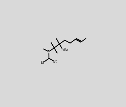 C/C=C/CCC(C)(CCCC)C(C)(C)P(C)C(CC)CC